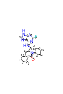 Cc1cccc2cc([C@H](C)Nc3nc(F)nc4[nH]cnc34)n(-c3ccccc3)c(=O)c12